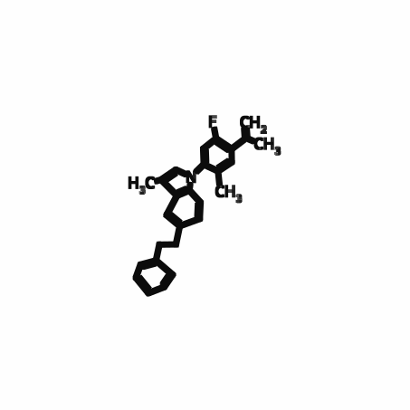 C=C(C)c1cc(C)c(-n2cc(C)c3cc(CCc4ccccc4)ccc32)cc1F